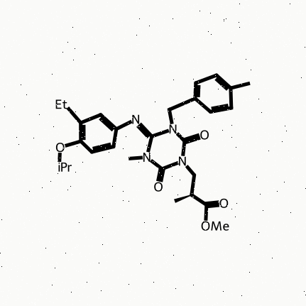 CCc1cc(/N=c2\n(C)c(=O)n(C[C@H](C)C(=O)OC)c(=O)n2Cc2ccc(C)cc2)ccc1OC(C)C